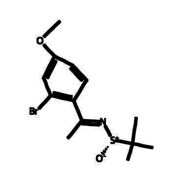 COc1ccc(C(C)=N[S@@+]([O-])C(C)(C)C)c(Br)c1